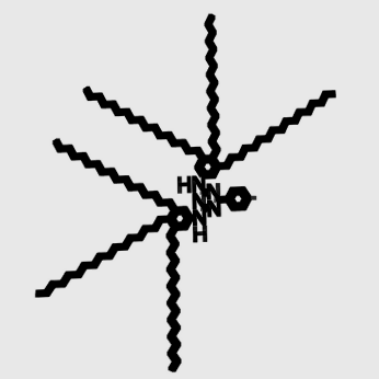 CCCCCCCCCCCCCCCCCc1cc(Nc2nc(Nc3cc(CCCCCCCCCCCCCCCCC)c(CCCCCCCCCCCCCCCCC)c(CCCCCCCCCCCCCCCCC)c3)nc(-c3cc[c]cc3)n2)cc(CCCCCCCCCCCCCCCCC)c1CCCCCCCCCCCCCCCCC